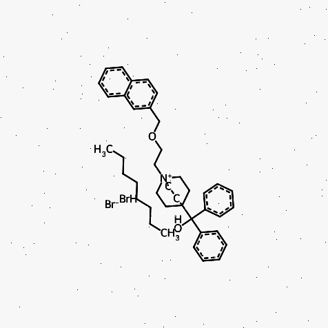 Br.CCCCCCCC.OC(c1ccccc1)(c1ccccc1)C12CC[N+](CCOCc3ccc4ccccc4c3)(CC1)CC2.[Br-]